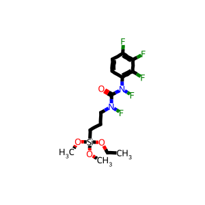 CCO[Si](CCCN(F)C(=O)N(F)c1ccc(F)c(F)c1F)(OC)OC